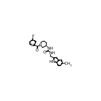 Cc1ccc2[nH]c(CNC(=O)N[C@@H]3CCCN(C(=O)c4cc(F)ccn4)C3)cc2c1